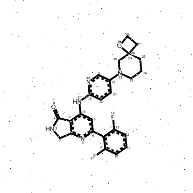 O=C1NCc2nc(-c3c(F)cccc3F)cc(Nc3ccc(N4CCC[C@@]5(CCO5)C4)cn3)c21